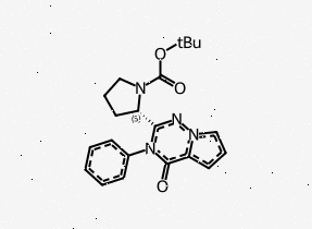 CC(C)(C)OC(=O)N1CCC[C@H]1c1nn2cccc2c(=O)n1-c1ccccc1